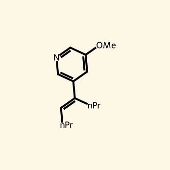 CCC/C=C(\CCC)c1cncc(OC)c1